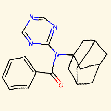 O=C(c1ccccc1)N(c1ncncn1)C12CC3CC(CC(C3)C1)C2